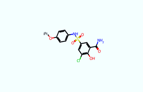 CC(C)Oc1ccc(NS(=O)(=O)c2cc(Cl)c(O)c(C(N)=O)c2)cc1